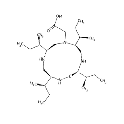 CC[C@@H](C)[C@H]1CN[C@@H]([C@H](C)CC)CN[C@@H]([C@H](C)CC)CN[C@@H]([C@H](C)CC)CN1CC(=O)O